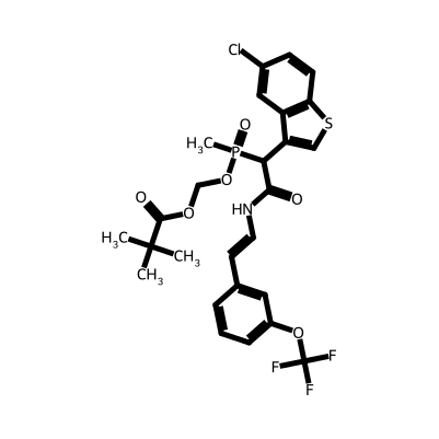 CC(C)(C)C(=O)OCOP(C)(=O)C(C(=O)N/C=C/c1cccc(OC(F)(F)F)c1)c1csc2ccc(Cl)cc12